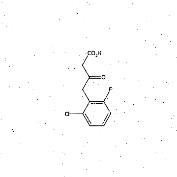 O=C(O)CC(=O)Cc1c(F)cccc1Cl